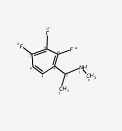 CNC(C)c1ccc(F)c(F)c1F